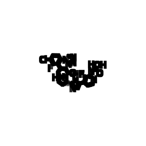 O=C(O)Nc1nccc(-c2cnc([C@@H]3CC[C@@H]4CC(c5c(-n6cnnn6)ccc(Cl)c5F)=CC(=O)N43)[nH]2)c1F